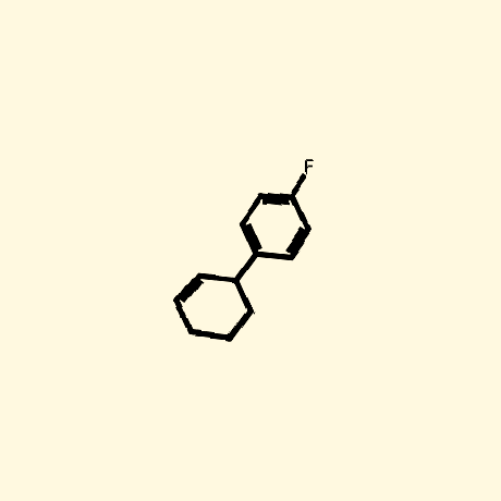 Fc1ccc(C2C=CCCC2)cc1